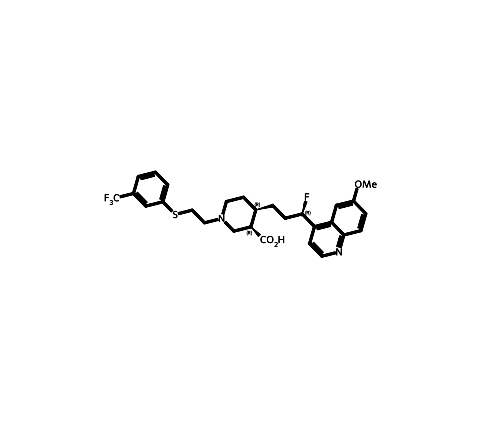 COc1ccc2nccc([C@H](F)CC[C@@H]3CCN(CCSc4cccc(C(F)(F)F)c4)C[C@@H]3C(=O)O)c2c1